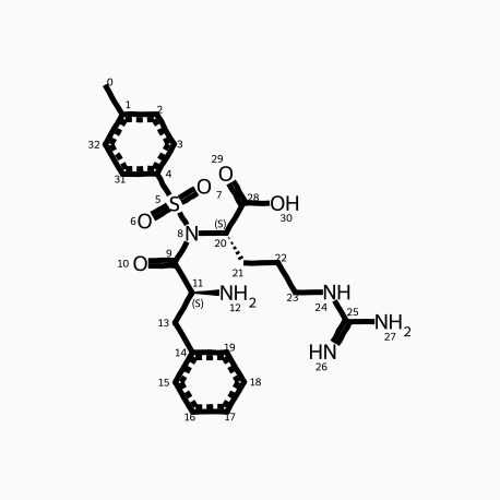 Cc1ccc(S(=O)(=O)N(C(=O)[C@@H](N)Cc2ccccc2)[C@@H](CCCNC(=N)N)C(=O)O)cc1